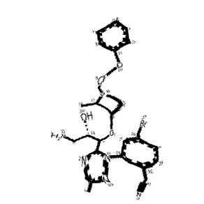 Cc1nc(C(OC2CP(OOc3ccccc3)C2C)[C@@H](O)CN)n(-c2cc(Br)ccc2C#N)n1